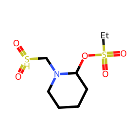 CCS(=O)(=O)OC1CCCCN1C[SH](=O)=O